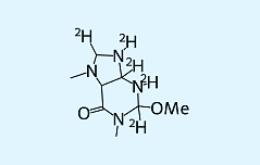 [2H]C1N(C)C2C(=O)N(C)C([2H])(OC)N([2H])C2([2H])N1[2H]